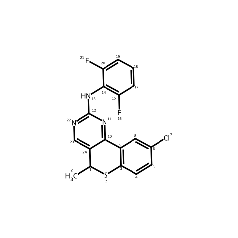 CC1Sc2ccc(Cl)cc2-c2nc(Nc3c(F)cccc3F)ncc21